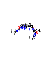 Cc1ccc(C(=O)Nc2ccc(C(=O)N3CCN(C)CC3)c(C)c2)cc1C#Cc1cnc(Nc2c(C)cccc2NC(=O)/C=C/CN(C)C)nc1